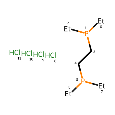 CCP(CC)CCP(CC)CC.Cl.Cl.Cl.Cl